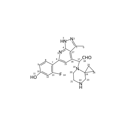 Cc1n[nH]c2nc(-c3ccc(O)cc3F)cc(C(C=O)N3CCNCC34CC4)c12